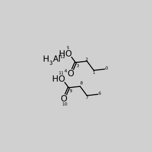 CCCC(=O)O.CCCC(=O)O.[AlH3]